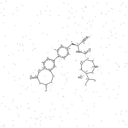 CC1CCc2cc(-c3ccc(C[C@@H](C#N)NC(=O)[C@@H]4CNC[C@@](O)(C(C)C)CO4)cc3)ccc2OC(=O)C1